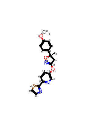 C[C@@]1(c2ccc(OC(F)(F)F)cc2)CC(Oc2ccc(-c3nccs3)nc2)=NO1